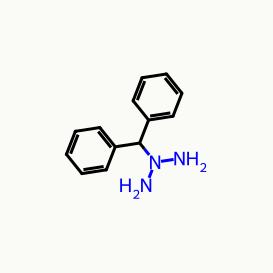 NN(N)C(c1ccccc1)c1ccccc1